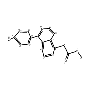 COC(=O)Cc1cccc2c(-c3ccc(Cl)cc3)nccc12